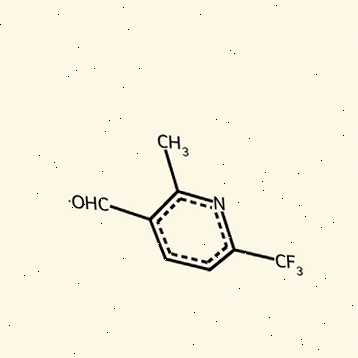 Cc1nc(C(F)(F)F)ccc1[C]=O